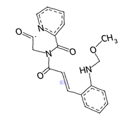 COCNc1ccccc1/C=C/C(=O)N(C[C]=O)C(=O)c1ccccn1